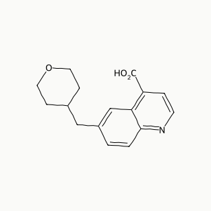 O=C(O)c1ccnc2ccc(CC3CCOCC3)cc12